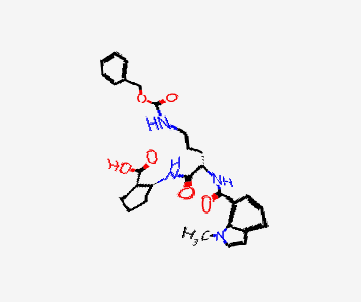 Cn1ccc2cccc(C(=O)N[C@@H](CCCNC(=O)OCc3ccccc3)C(=O)N[C@H]3CCC[C@H]3C(=O)O)c21